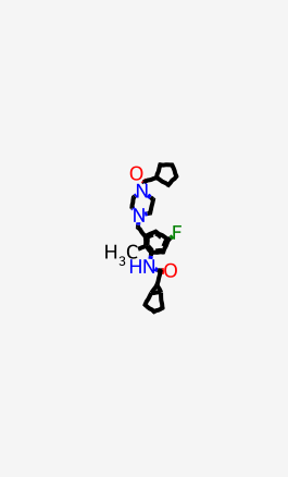 Cc1c(CN2CCN(C(=O)C3CCCC3)CC2)cc(F)cc1NC(=O)C1C2CCCC21